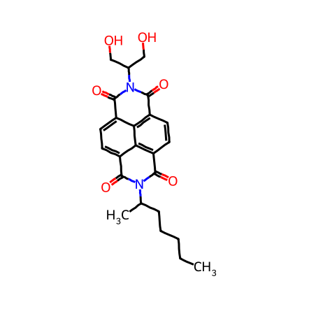 CCCCCC(C)N1C(=O)c2ccc3c4c(ccc(c24)C1=O)C(=O)N(C(CO)CO)C3=O